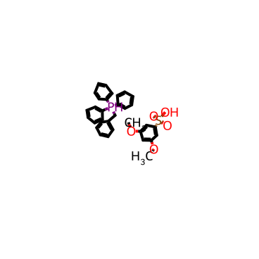 COc1cc(OC)cc(S(=O)(=O)O)c1.c1ccc(C[PH](c2ccccc2)(c2ccccc2)c2ccccc2)cc1